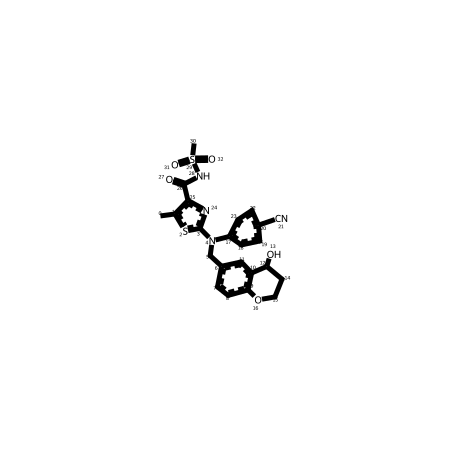 Cc1sc(N(Cc2ccc3c(c2)C(O)CCO3)c2ccc(C#N)cc2)nc1C(=O)NS(C)(=O)=O